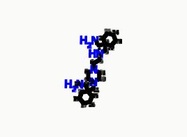 NCC1(CNCCN2CCN(CC3(CN)CCCCC3)CC2)CCCCC1